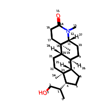 CC(CO)[C@H]1CC[C@H]2[C@@H]3CC[C@H]4N(C)C(=O)CC[C@]4(C)[C@H]3CC[C@]12C